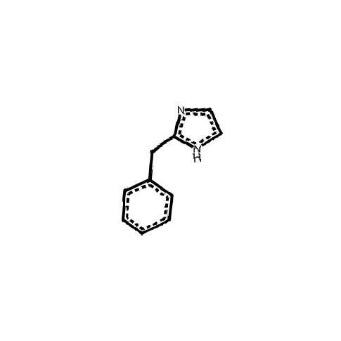 [c]1ccc(Cc2ncc[nH]2)cc1